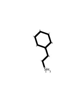 [SiH3]CCC1CCCCC1